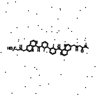 Cc1c(Nc2nccc3cc(CNCC(=O)O)cnc23)cccc1-c1cccc(Nc2nccc3cc(CNCC(=O)N(C)C)cnc23)c1C